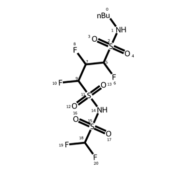 CCCCNS(=O)(=O)C(F)C(F)C(F)S(=O)(=O)NS(=O)(=O)C(F)F